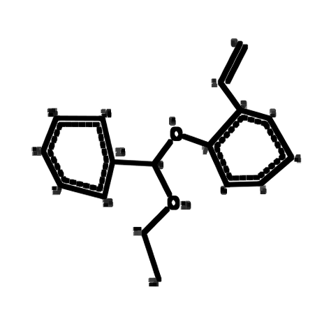 C=Cc1ccccc1OC(OCC)c1ccccc1